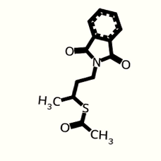 CC(=O)SC(C)CCN1C(=O)c2ccccc2C1=O